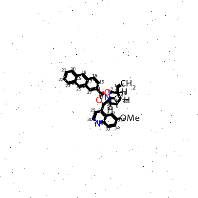 C=C[C@H]1CN2CC[C@H]1C[C@@H]2[C@@H](OC(=O)c1ccc2cc3ccccc3cc2c1)c1ccnc2ccc(OC)cc12